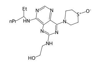 CCCC(CC)Nc1ncnc2c(N3CC[S+]([O-])CC3)nc(NCCO)nc12